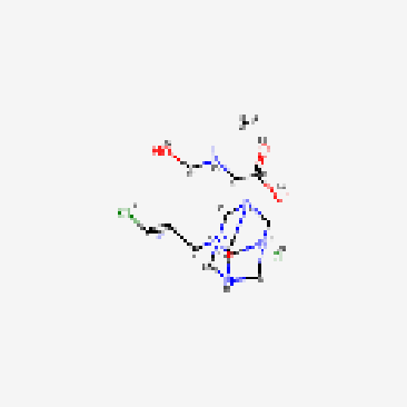 Cl/C=C/C[N+]12CN3CN(CN(C3)C1)C2.O=C([O-])CNCO.[Cl-].[Na+]